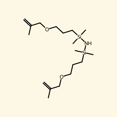 C=C(C)COCCC[Si](C)(C)N[Si](C)(C)CCCOCC(=C)C